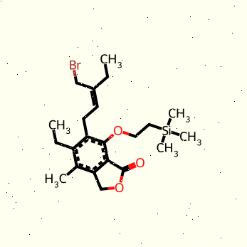 CCC(=CCc1c(CC)c(C)c2c(c1OCC[Si](C)(C)C)C(=O)OC2)CBr